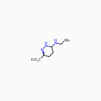 CCOC(=O)C1=NNC(NCC(C)(C)C)CC1